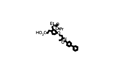 CCN(Cc1cc(OCCc2nc(-c3ccc(-c4ccccc4)cc3)oc2C)ccc1CCC(=O)O)C(=O)OC(C)C